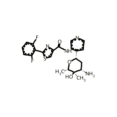 C[C@@H]1O[C@H](c2ccncc2NC(=O)c2csc(-c3c(F)cccc3F)n2)C[C@H](N)[C@@]1(C)O